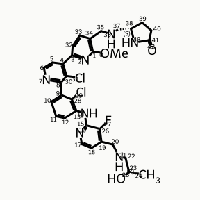 COc1nc(-c2ccnc(-c3cccc(Nc4nccc(CNC[C@@H](C)O)c4F)c3Cl)c2Cl)ccc1CNC[C@@H]1CCC(=O)N1